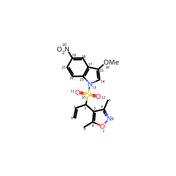 C=CC(c1c(C)noc1C)S(=O)(=O)n1cc(OC)c2cc([N+](=O)[O-])ccc21